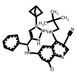 CC(C)(C)CNc1c(C#N)cnc2c(Cl)cc(N[C@H](C3=CN(C45CC(C4)C5)NN3)c3ccccc3)cc12